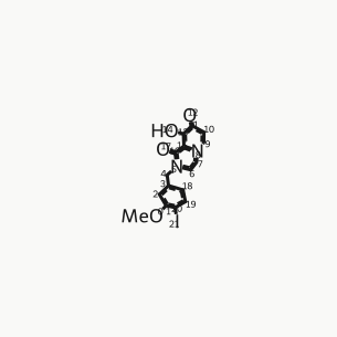 COc1cc(Cn2ccn3ccc(=O)c(O)c3c2=O)ccc1I